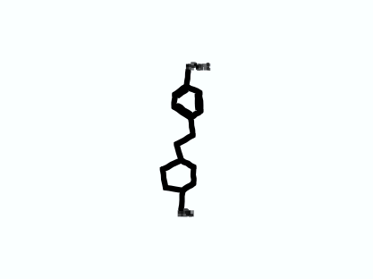 CCCCCc1ccc(CCC2CCC(CCCC)CC2)cc1